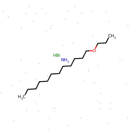 Br.CCCCCCCCCCCCOCCC.N